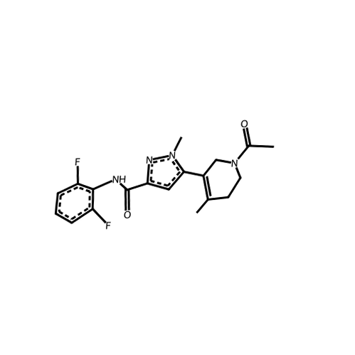 CC(=O)N1CCC(C)=C(c2cc(C(=O)Nc3c(F)cccc3F)nn2C)C1